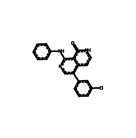 O=c1[nH]ccc2c(-c3cccc(Cl)c3)cnc(Nc3ccccc3)c12